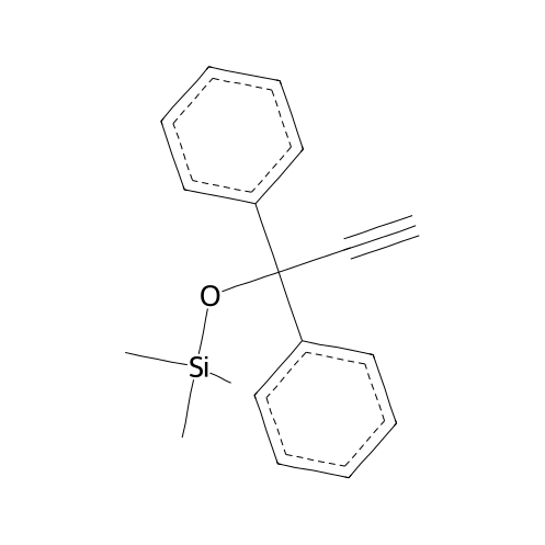 C#CC(O[Si](C)(C)C)(c1ccccc1)c1ccccc1